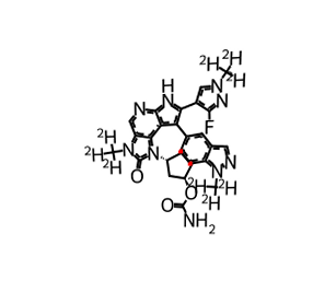 [2H]C([2H])([2H])n1cc(-c2[nH]c3ncc4c(c3c2-c2ccc3c(cnn3C([2H])([2H])[2H])c2)n([C@@H]2CC[C@@H](OC(N)=O)C2)c(=O)n4C([2H])([2H])[2H])c(F)n1